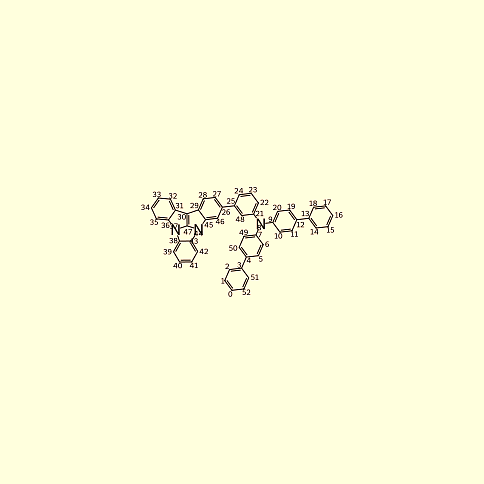 c1ccc(-c2ccc(N(c3ccc(-c4ccccc4)cc3)c3cccc(-c4ccc5c6c7ccccc7n7c8ccccc8n(c5c4)c67)c3)cc2)cc1